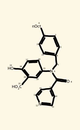 CCCCCCCCc1ccc(CN(C(=O)c2ccncc2)c2ccc(O)c(C(=O)O)c2)cc1